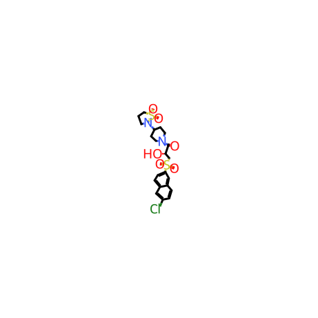 O=C([C@H](O)CS(=O)(=O)c1ccc2cc(Cl)ccc2c1)N1CCC(N2CCCS2(=O)=O)CC1